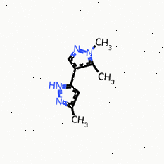 Cc1cc(-c2cnn(C)c2C)[nH]n1